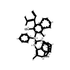 C=CC(=C(C)C)c1c(C(C)(C)C)c(N(C2=N/C(c3ccccc3SC)=C(\C)CC/C=C\C=N\2)c2ccccc2)c(C)c2ccccc12